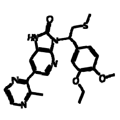 CCOc1cc(C(CSC)n2c(=O)[nH]c3cc(-c4nccnc4C)cnc32)ccc1OC